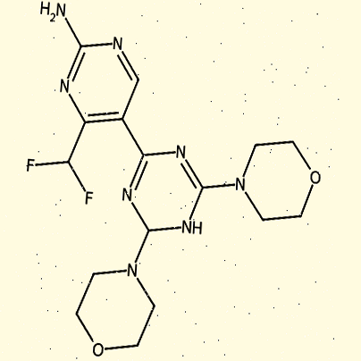 Nc1ncc(C2=NC(N3CCOCC3)NC(N3CCOCC3)=N2)c(C(F)F)n1